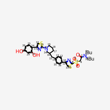 CCC(C)N(C(=O)CS(=O)(=O)c1nc(-c2ccc(CC3CCCN(c4nc(-c5ccc(O)cc5O)cs4)C3)cc2)cs1)C(C)CC